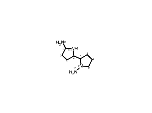 NC1CCC(C2CCCN2N)N1